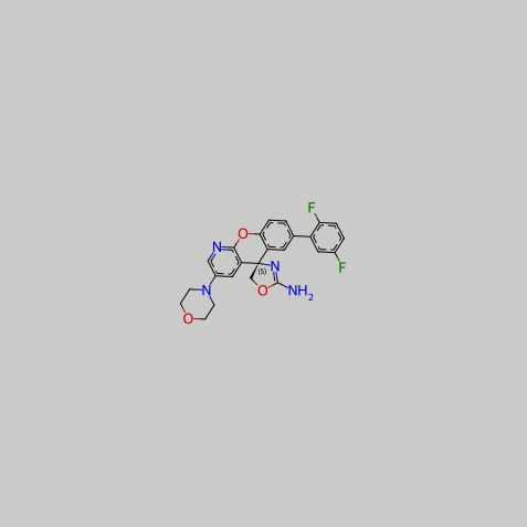 NC1=N[C@@]2(CO1)c1cc(-c3cc(F)ccc3F)ccc1Oc1ncc(N3CCOCC3)cc12